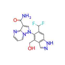 NC(=O)c1cn(-c2c(C(F)F)cc3[nH]ncc3c2CO)[n+]2cccnc12